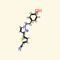 N#Cc1ccc(-c2ccn(CCc3ccc(O)cc3)n2)s1